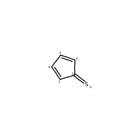 S=C1C=CC=C1